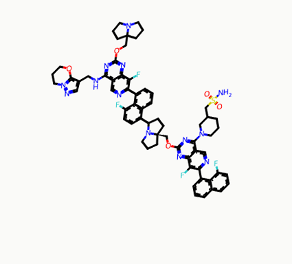 NS(=O)(=O)CC1CCCN(c2nc(OC[C@@]34CCCN3C(c3ccc(F)c5c(-c6ncc7c(NCc8cnn9c8OCCC9)nc(OCC89CCCN8CCC9)nc7c6F)cccc35)CC4)nc3c(F)c(-c4cccc5cccc(F)c45)ncc23)C1